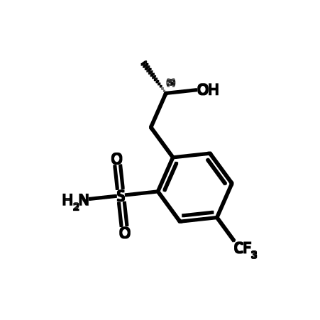 C[C@H](O)Cc1ccc(C(F)(F)F)cc1S(N)(=O)=O